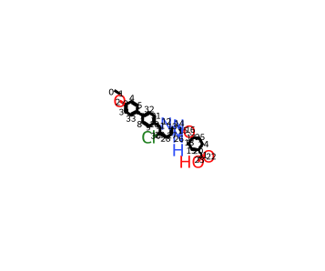 CCOc1ccc(-c2ccc(-c3nc4nc(O[C@H]5CC[C@H](C(=O)O)CC5)[nH]c4cc3Cl)cc2)cc1